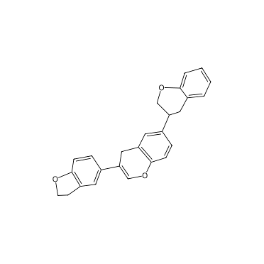 C1=C(c2ccc3c(c2)CCO3)Cc2cc(C3COc4ccccc4C3)ccc2O1